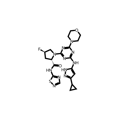 O=C(Nc1ncns1)[C@@H]1C[C@@H](F)CN1c1nc(Nc2cc(C3CC3)n[nH]2)nc(N2CCOCC2)n1